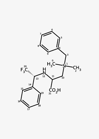 C[Si](C)(Cc1ccccc1)CC(N[C@H](c1ccccc1)C(F)(F)F)C(=O)O